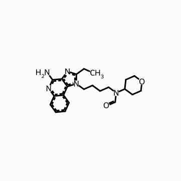 CCc1nc2c(N)nc3ccccc3c2n1CCCCN(C=O)C1CCOCC1